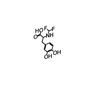 O=C(O)C(Cc1ccc(O)c(O)c1)NC(F)F